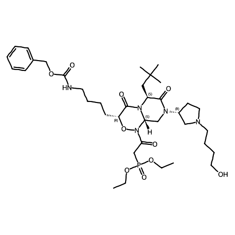 CCOP(=O)(CC(=O)N1O[C@H](CCCCNC(=O)OCc2ccccc2)C(=O)N2[C@@H]1CN([C@@H]1CCN(CCCCO)C1)C(=O)[C@@H]2CC(C)(C)C)OCC